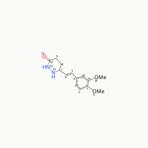 COc1ccc(/C=C/C2CCC(=O)NN2)cc1OC